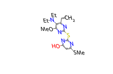 C=Cc1nc(Sc2nc(O)cc(SC)n2)nc(OC)c1N(CC)CC